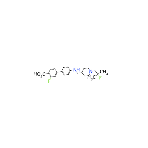 CC(C)(F)CN1CCC(CNc2ccc(-c3ccc(C(=O)O)c(F)c3)cc2)CC1